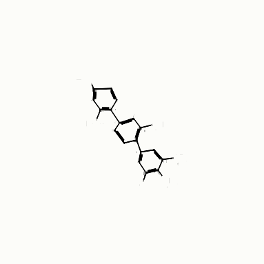 Cc1ccc(-c2ccc(-c3cc(C(F)(F)F)c(C)c(C(F)(F)F)c3)c(C)c2)c(C)c1